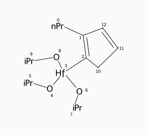 CCCC1=[C]([Hf]([O]C(C)C)([O]C(C)C)[O]C(C)C)CC=C1